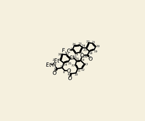 CCN(CC)C(=O)C(COC(=O)Cc1ccc(OC(=O)c2ccccc2-c2ccc(C(F)(F)F)cc2)c(Cl)c1)c1ccccc1